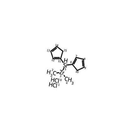 Cl.Cl.[CH3][Zr]([CH3])[SiH](C1=CC=CC1)C1=CC=CC1